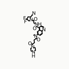 CN(C(=O)CCC(=O)N1CCNCC1)c1ccc2nccc(C(=O)NCC(=O)N3CC(F)(F)CC3C#N)c2c1